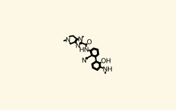 CNc1cccc(-c2cccc(NC(=O)c3nc4c(n3C)CCN(C)C4)c2C#N)c1O